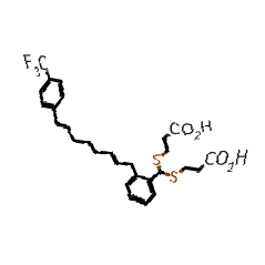 O=C(O)CCSC(SCCC(=O)O)c1ccccc1CCCCCCCCc1ccc(C(F)(F)F)cc1